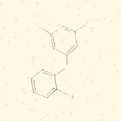 Oc1ccccc1Sc1cc(F)cc(F)c1